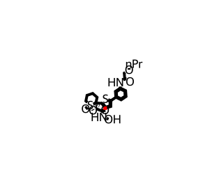 CCCOCC(=O)Nc1cccc(-c2ccc([C@@]3(CC(=O)NO)CCCCS3(=O)=O)s2)c1